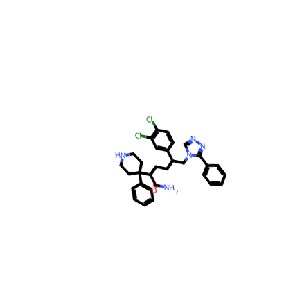 NC(=O)C(CCC(Cn1cnnc1-c1ccccc1)c1ccc(Cl)c(Cl)c1)C1(c2ccccc2)CCNCC1